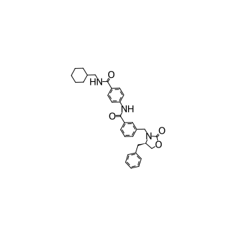 O=C(NCC1CCCCC1)c1ccc(NC(=O)c2cccc(CN3C(=O)OC[C@H]3Cc3ccccc3)c2)cc1